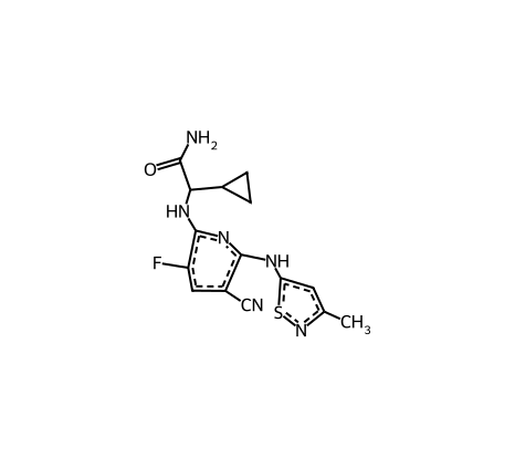 Cc1cc(Nc2nc(NC(C(N)=O)C3CC3)c(F)cc2C#N)sn1